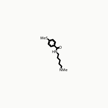 CNCCCCCNC(=O)c1ccc(SC)cc1